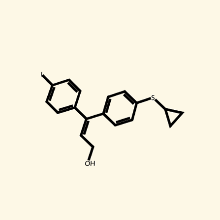 OCC=C(c1ccc(I)cc1)c1ccc(SC2CC2)cc1